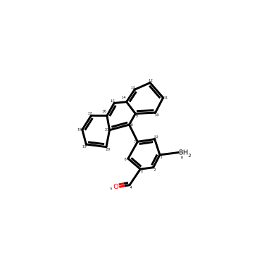 Bc1cc(C=O)cc(-c2c3ccccc3cc3ccccc23)c1